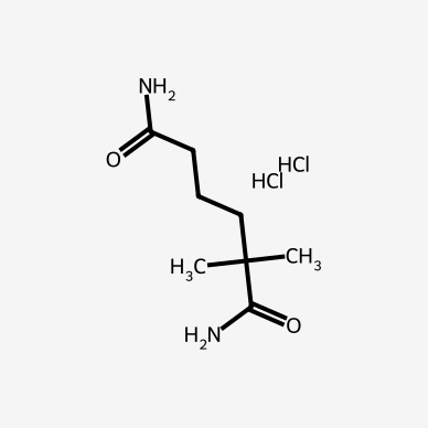 CC(C)(CCCC(N)=O)C(N)=O.Cl.Cl